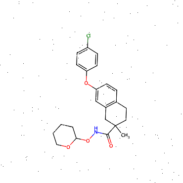 CC1(C(=O)NOC2CCCCO2)CCc2ccc(Oc3ccc(Cl)cc3)cc2C1